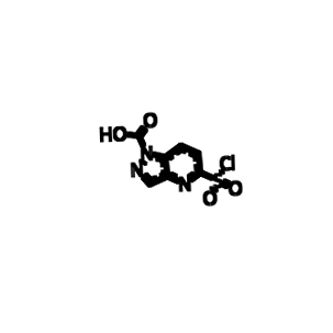 O=C(O)n1ncc2nc(S(=O)(=O)Cl)ccc21